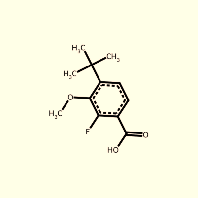 COc1c(C(C)(C)C)ccc(C(=O)O)c1F